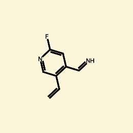 C=Cc1cnc(F)cc1C=N